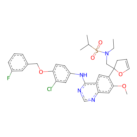 CCN(CC1(c2cc3c(Nc4ccc(OCc5cccc(F)c5)c(Cl)c4)ncnc3cc2OC)CC=CO1)S(=O)(=O)C(C)C